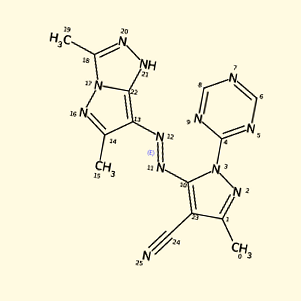 Cc1nn(-c2ncncn2)c(/N=N/c2c(C)nn3c(C)n[nH]c23)c1C#N